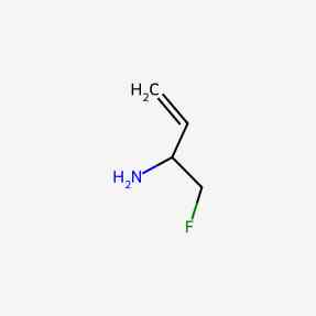 C=CC(N)CF